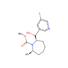 CCC[C@@H]1CCCC[C@H](C(O)c2cncc(F)c2)N1C(=O)OC(C)(C)C